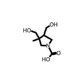 CC1(CO)CN(C(=O)O)CC1CO